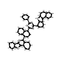 c1ccc(-c2nc(-c3ccc(-c4nc5c6ccccc6oc5c5ccccc45)c4ccccc34)nc(-c3cccc4c3sc3ccc5ccccc5c34)n2)cc1